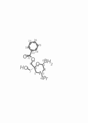 B[C@H]1CN(C(C)C)C[C@@](CO)(COC(=O)c2ccccc2)O1